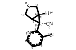 N#C[C@]1(c2ncccc2Br)C2CSC[C@@H]21